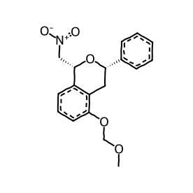 COCOc1cccc2c1C[C@@H](c1ccccc1)O[C@H]2C[N+](=O)[O-]